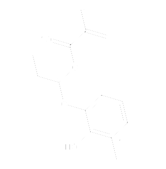 C=C(C)C(=O)OC(CC)Oc1cccc(C)c1O